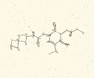 CCN/C=C1\C(=N)C(CC)=NN(CC(=O)NC2CC3(COC3)C2)C1=O